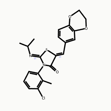 Cc1c(Cl)cccc1N1C(=O)/C(=C/c2ccc3c(c2)OCCO3)S/C1=N\C(C)C